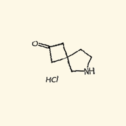 Cl.O=C1CC2(CCNC2)C1